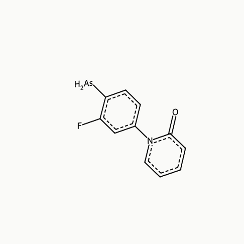 O=c1ccccn1-c1ccc([AsH2])c(F)c1